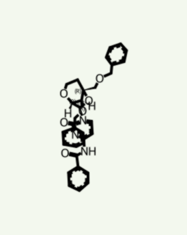 O=C(Nc1ccn([C@@H]2O[C@@]3(COCc4ccccc4)CCO[C@@H]2[C@@H]3OCc2ccccc2)c(=O)n1)c1ccccc1